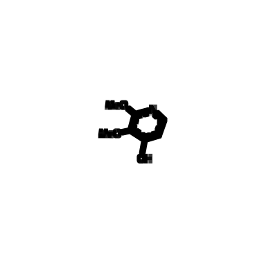 COc1nccc(O)c1OC